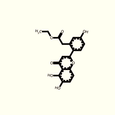 CCOC(=O)Cc1cc(O)ccc1-c1cc(=O)c2c(O)c(O)ccc2o1